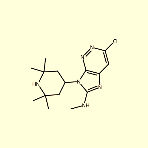 CNc1nc2cc(Cl)nnc2n1C1CC(C)(C)NC(C)(C)C1